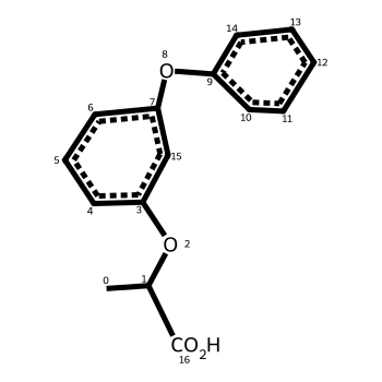 CC(Oc1cccc(Oc2ccccc2)c1)C(=O)O